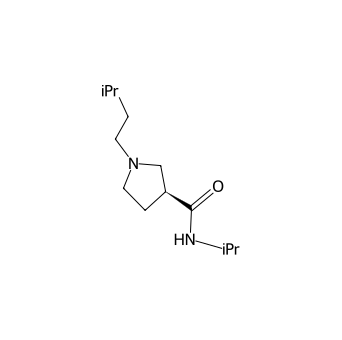 CC(C)CCN1CC[C@H](C(=O)NC(C)C)C1